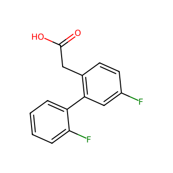 O=C(O)Cc1ccc(F)cc1-c1ccccc1F